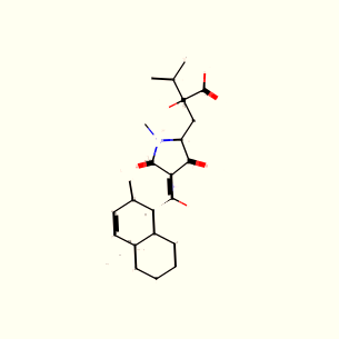 CC1C=C[C@@H]2CCCCC2[C@@H]1/C(O)=C1/C(=O)C(CC(O)(C(=O)O)C(C)C)N(C)C1=O